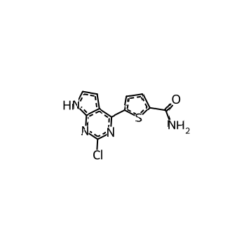 NC(=O)c1ccc(-c2nc(Cl)nc3[nH]ccc23)s1